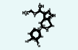 CCOC(O)c1n[nH]c2c1C[C@@H](c1ccc(F)c(F)c1)OC2